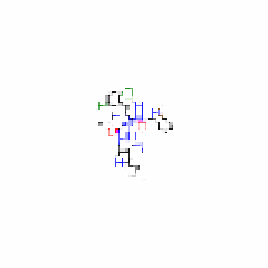 CC(=O)Cn1c(C(=O)NCc2cnc(C(F)(F)F)cc2CN(C)C)nc(NC(=O)c2nsc3ccccc23)c1[C@@H](C)c1cc(F)ccc1Cl